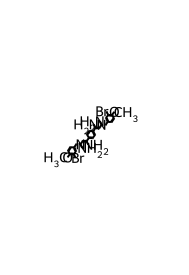 COc1ccc(CN(N)/C=C(\N)c2ccc(/C(N)=C/N(N)Cc3ccc(OC)c(Br)c3)cc2)cc1Br